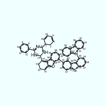 C1=CCC(C2N=C(c3ccccc3)NC(C3=c4c(oc5c(-c6ccc7sc8cccc(-n9c%10ccccc%10c%10ccccc%109)c8c7c6)cccc45)=CCC3)N2)C=C1